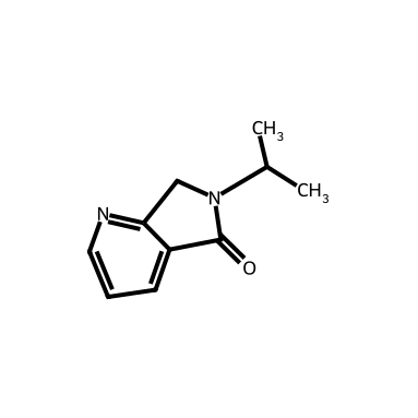 CC(C)N1Cc2ncccc2C1=O